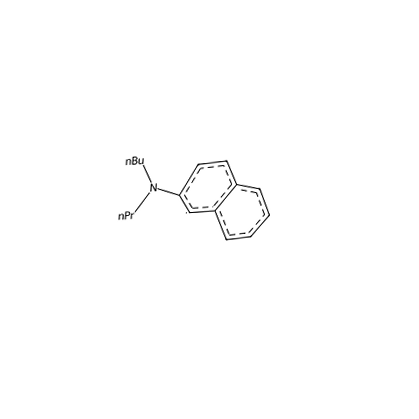 CCCCN(CCC)c1[c]c2ccccc2cc1